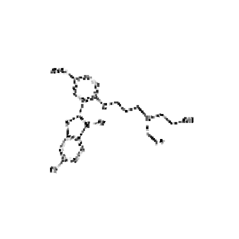 COc1ccc(OCCCN(CCO)CC(C)C)c(C2Sc3cc(Cl)ccc3N2C(C)=O)c1